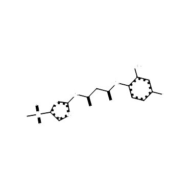 CC(C)COc1cc(F)ccc1NC(=O)CC(=O)Nc1ncc(S(C)(=O)=O)s1